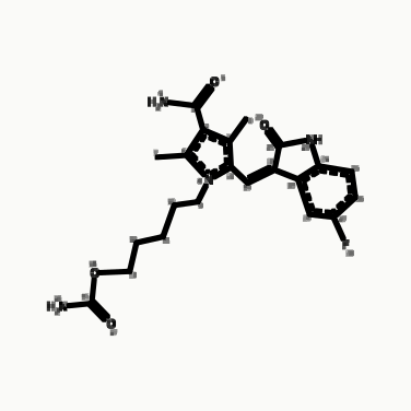 Cc1c(C(N)=O)c(C)n(CCCCCOC(N)=O)c1/C=C1\C(=O)Nc2ccc(F)cc21